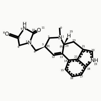 CN1C[C@H](CN2CC(=O)NC2=O)C=C2c3cccc4[nH]cc(c34)C[C@H]21